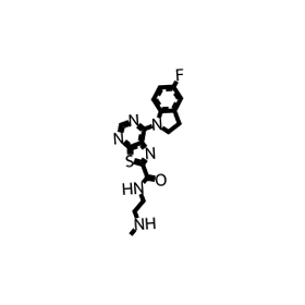 CNCCNC(=O)c1nc2c(N3CCc4cc(F)ccc43)ncnc2s1